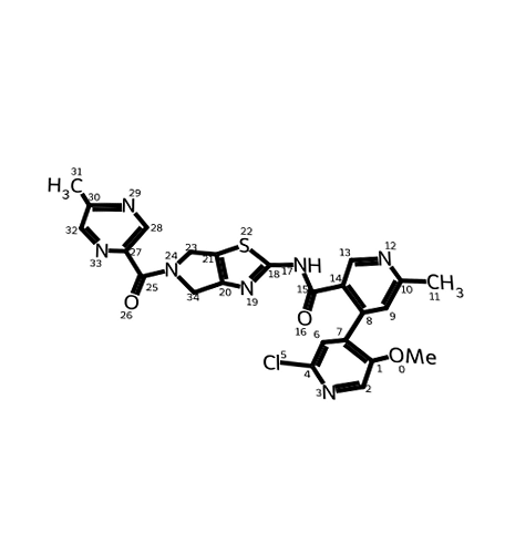 COc1cnc(Cl)cc1-c1cc(C)ncc1C(=O)Nc1nc2c(s1)CN(C(=O)c1cnc(C)cn1)C2